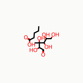 CC(O)(C(O)C=O)C(O)C(O)CO.CCCCC(=O)O